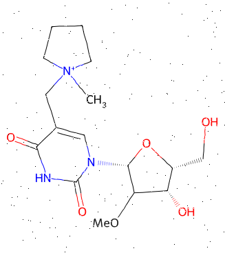 COC1[C@@H](O)[C@@H](CO)O[C@H]1n1cc(C[N+]2(C)CCCC2)c(=O)[nH]c1=O